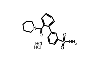 Cl.Cl.NS(=O)(=O)c1cccc(-c2ccccc2C(=O)N2CCCCC2)c1